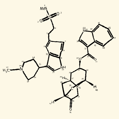 CNS(=O)(=O)CCc1ccc2[nH]cc(C3CCN(C)CC3)c2c1.O=C(O[C@@H]1C[C@@H]2C[C@@H]3C[C@H](C1)N2CC3=O)c1c[nH]c2ccccc12